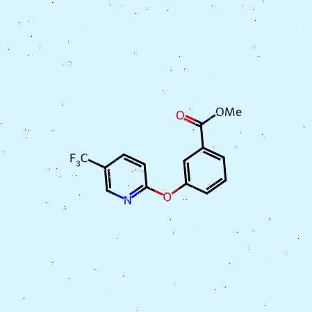 COC(=O)c1cccc(Oc2ccc(C(F)(F)F)cn2)c1